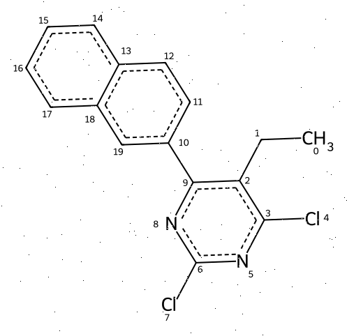 CCc1c(Cl)nc(Cl)nc1-c1ccc2ccccc2c1